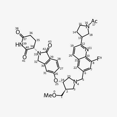 COC[C@@H]1CN(Cc2cc(F)c3nc(C4CCN(C(C)=O)C4)ccc3c2)C[C@H]1Oc1ccc2c(c1)CN([C@H]1CCC(=O)NC1=O)C2=O